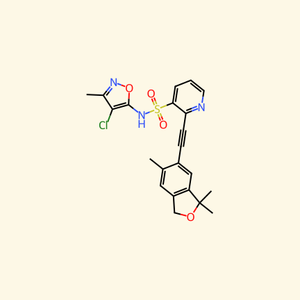 Cc1cc2c(cc1C#Cc1ncccc1S(=O)(=O)Nc1onc(C)c1Cl)C(C)(C)OC2